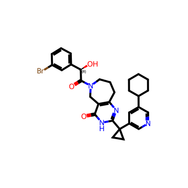 O=C([C@H](O)c1cccc(Br)c1)N1CCCc2nc(C3(c4cncc(C5CCCCC5)c4)CC3)[nH]c(=O)c2C1